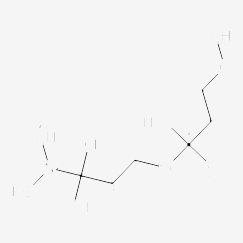 COCCC(C)(C)OCCC(C)(C)N(C)C